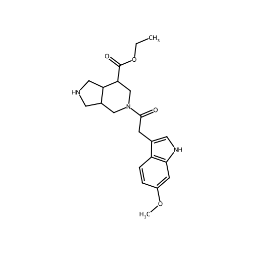 CCOC(=O)C1CN(C(=O)Cc2c[nH]c3cc(OC)ccc23)CC2CNCC21